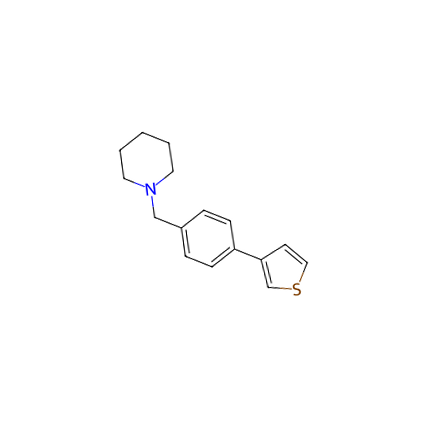 c1cc(-c2ccc(CN3CCCCC3)cc2)cs1